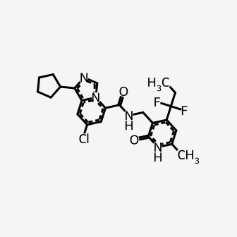 CCC(F)(F)c1cc(C)[nH]c(=O)c1CNC(=O)c1cc(Cl)cc2c(C3CCCC3)ncn12